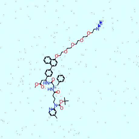 COC(=O)C[C@H](NC(=O)[C@H](Cc1ccccc1)NC(=O)CCCN(C(=O)OC(C)(C)C)c1cc(C)ccn1)c1ccc(-c2ccc(OCCOCCOCCOCCOCCN=[N+]=[N-])c3ccccc23)cc1